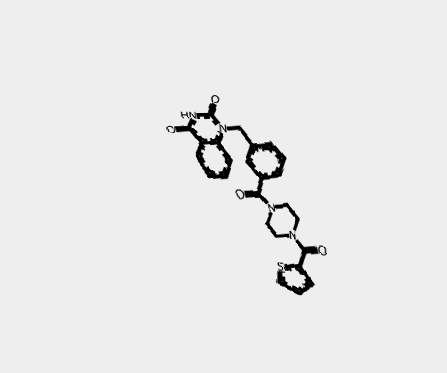 O=C(c1cccc(Cn2c(=O)[nH]c(=O)c3ccccc32)c1)N1CCN(C(=O)c2cccs2)CC1